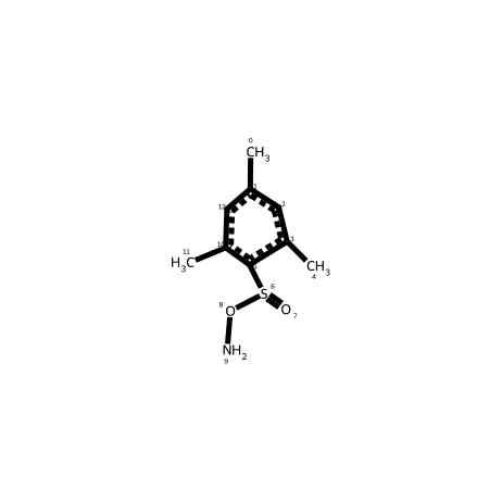 Cc1cc(C)c(S(=O)ON)c(C)c1